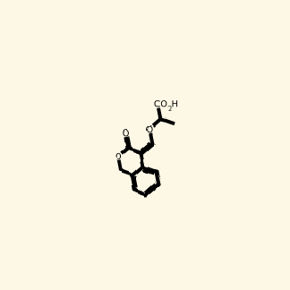 CC(O/C=C1\C(=O)OCc2ccccc21)C(=O)O